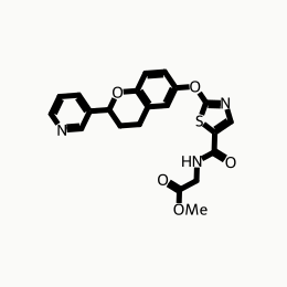 COC(=O)CNC(=O)c1cnc(Oc2ccc3c(c2)CCC(c2cccnc2)O3)s1